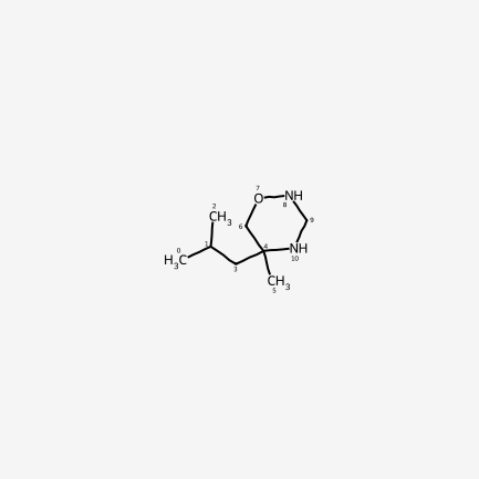 CC(C)CC1(C)CONCN1